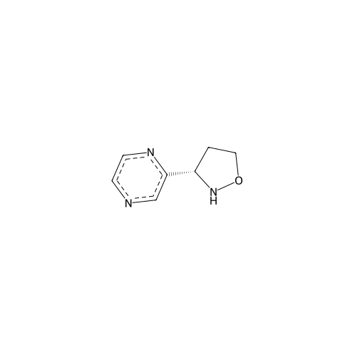 c1cnc([C@@H]2CCON2)cn1